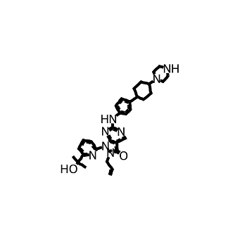 C=CCn1c(=O)c2cnc(Nc3ccc(C4CCC(N5CCNCC5)CC4)cc3)nc2n1-c1cccc(C(C)(C)O)n1